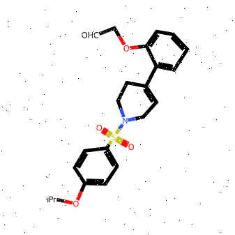 CC(C)Oc1ccc(S(=O)(=O)N2CC=C(c3ccccc3OCC=O)CC2)cc1